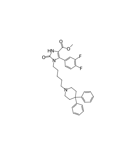 COC(=O)c1[nH]c(=O)n(CCCCCN2CCC(c3ccccc3)(c3ccccc3)CC2)c1-c1ccc(F)c(F)c1